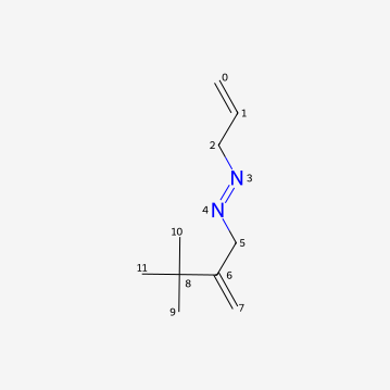 C=CCN=NCC(=C)C(C)(C)C